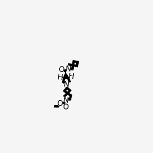 CCOC(=O)N1CCC2(CC(N3C[C@@H]4[C@H](C3)[C@@H]4C(=O)N3CC4(CCC4)C3)C2)C1